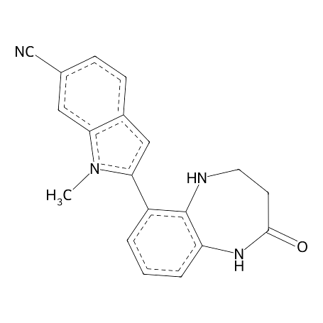 Cn1c(-c2cccc3c2NCCC(=O)N3)cc2ccc(C#N)cc21